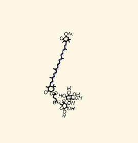 CC(=O)OC1CC(C)(C)C(/C=C/C(C)=C/C=C/C(C)=C/C=C/C=C(C)/C=C/C=C(C)/C=C/C2=C(C)C(=O)C(OC(=O)CCC(=O)OCC3OC(O)C(O)C(O)C3OC3OC(CO)C(O)C(O)C3O)CC2(C)C)=C(C)C1=O